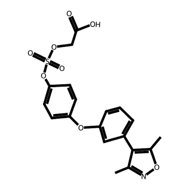 Cc1noc(C)c1-c1cccc(Oc2ccc(OS(=O)(=O)OCC(=O)O)cc2)c1